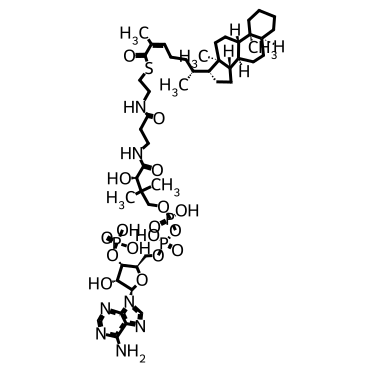 CC(=CCC[C@@H](C)[C@H]1CC[C@H]2[C@@H]3CC[C@@H]4CCCC[C@]4(C)[C@H]3CC[C@]12C)C(=O)SCCNC(=O)CCNC(=O)[C@H](O)C(C)(C)COP(=O)(O)OP(=O)(O)OC[C@H]1O[C@@H](n2cnc3c(N)ncnc32)[C@H](O)[C@@H]1OP(=O)(O)O